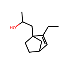 CCC1=CC2CCC1(CC(C)O)C2